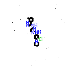 Cc1cccc2c(Nc3ccnc(Nc4ccc(N5CCCCC5)c(Cl)c4)n3)cnnc12